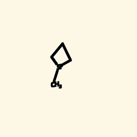 C[Si]1CCC1